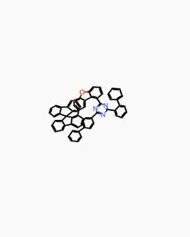 c1ccc(-c2ccc(-c3nc(-c4ccccc4-c4ccccc4)nc(-c4cccc5oc6ccc(-c7cccc8c7C7(c9ccccc9-c9ccccc97)c7ccccc7-8)cc6c45)n3)cc2)cc1